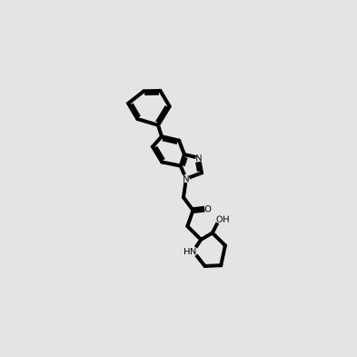 O=C(CC1NCCCC1O)Cn1cnc2cc(-c3ccccc3)ccc21